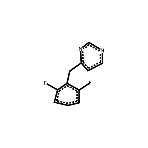 Fc1cccc(F)c1Cc1ccncn1